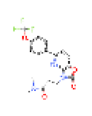 CN(C)C(=O)CCn1c(=O)oc2ccc(-c3ccc(OC(F)(F)F)cc3)nc21